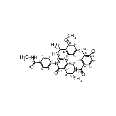 CNC(=O)c1ccc(-n2c(NC(C)c3ccccc3OC)nc3c(c2=O)C[C@@H](C)N(C(=O)c2ccc(Cl)c(Cl)c2)C3)cc1